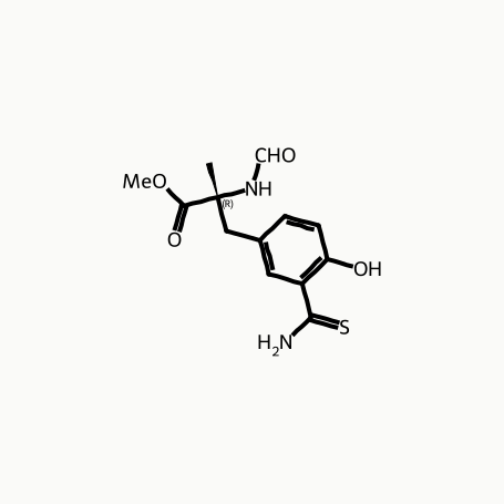 COC(=O)[C@@](C)(Cc1ccc(O)c(C(N)=S)c1)NC=O